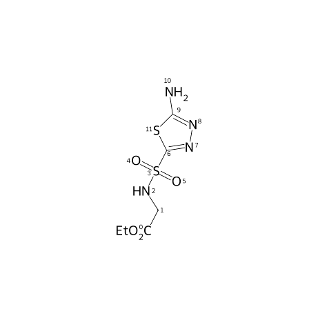 CCOC(=O)CNS(=O)(=O)c1nnc(N)s1